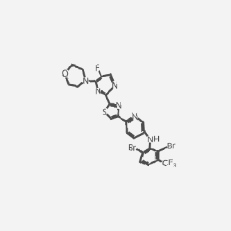 Fc1cnc(-c2nc(-c3ccc(Nc4c(Br)ccc(C(F)(F)F)c4Br)cn3)cs2)nc1N1CCOCC1